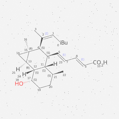 CCC(C)/C=C(/C)[C@H]1[C@@H](/C=C/C=C/C(=O)O)[C@H]2[C@@H]([C@H]3C[C@]31C)[C@@H](O)CC[C@@H]2C